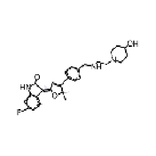 CC1(C)O/C(=C2/C(=O)Nc3cc(F)ccc32)C=C1c1ccc(CNCCN2CCC(O)CC2)cc1